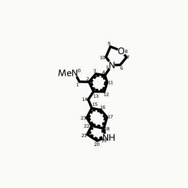 CNCc1cc(N2CCOCC2)ccc1Cc1ccc2[nH]ccc2c1